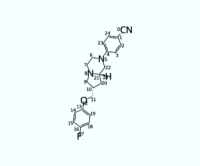 N#Cc1ccc(N2CCN3C[C@@H](COc4ccc(F)cc4)C[C@H]3C2)cc1